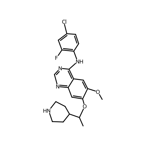 COc1cc2c(Nc3ccc(Cl)cc3F)ncnc2cc1OC(C)C1CCNCC1